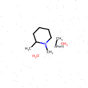 CC1CCCCN1C.CCCCCC.O.O